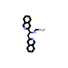 O=C(O)CNC(Cc1cc2ccccc2cn1)c1cc2ccccc2cn1